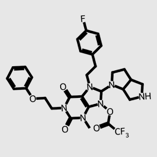 Cn1c2c(c(=O)n(CCOc3ccccc3)c1=O)N(CCc1ccc(F)cc1)C(N1CCC3CNCC31)N2OC(=O)C(F)(F)F